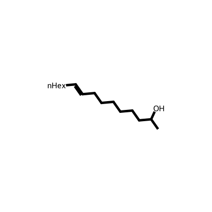 CCCCCC/C=C/CCCCCCC(C)O